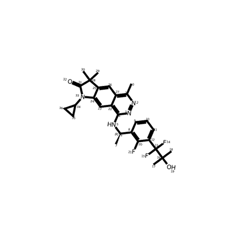 Cc1nnc(N[C@H](C)c2cccc(C(F)(F)C(C)(C)O)c2F)c2cc3c(cc12)C(C)(C)C(=O)N3C1CC1